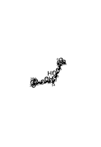 CO[Si](CCCOCC(O)COCC(C)OCC(O)COCCC[Si](OC)(OC)OC)(OC)OC